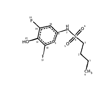 CCCCS(=O)(=O)Nc1cc(F)c(O)c(F)c1